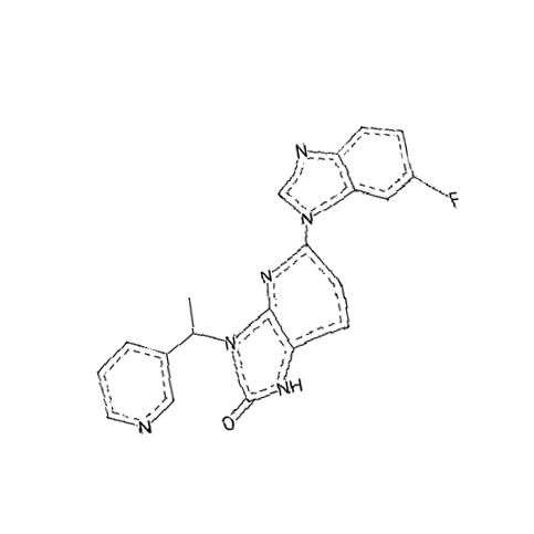 CC(c1cccnc1)n1c(=O)[nH]c2ccc(-n3cnc4ccc(F)cc43)nc21